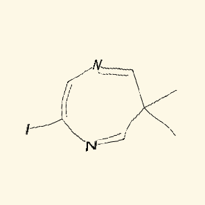 CC1(C)C=NC=C(I)N=C1